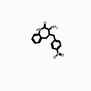 NC1C(=O)Nc2ccccc2CC1Cc1ccc([N+](=O)[O-])cc1